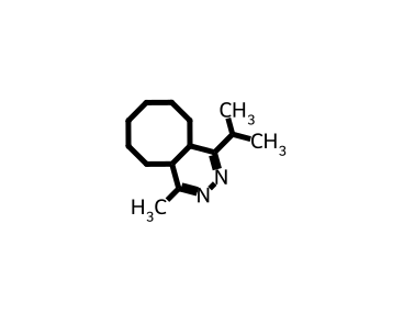 CC1=NN=C(C(C)C)C2CCCCCCC12